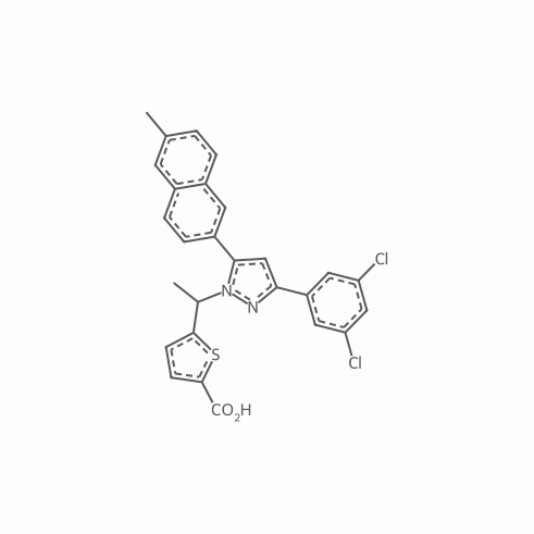 Cc1ccc2cc(-c3cc(-c4cc(Cl)cc(Cl)c4)nn3C(C)c3ccc(C(=O)O)s3)ccc2c1